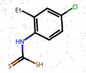 CCc1cc(Cl)ccc1NC(=S)S